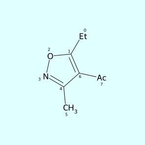 CCc1onc(C)c1C(C)=O